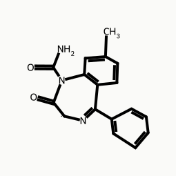 Cc1ccc2c(c1)N(C(N)=O)C(=O)[CH]N=C2c1ccccc1